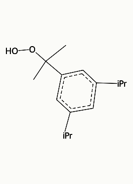 CC(C)c1cc(C(C)C)cc(C(C)(C)OO)c1